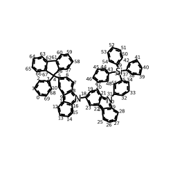 c1ccc(C2(c3ccc4c(c3)c3ccccc3n4-c3ccc4c(c3)c3ccccc3n4-c3cccc([Si](c4ccccc4)(c4ccccc4)c4ccccc4)c3)c3ccccc3-c3ccccc32)cc1